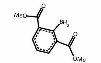 Bc1c(C(=O)OC)cccc1C(=O)OC